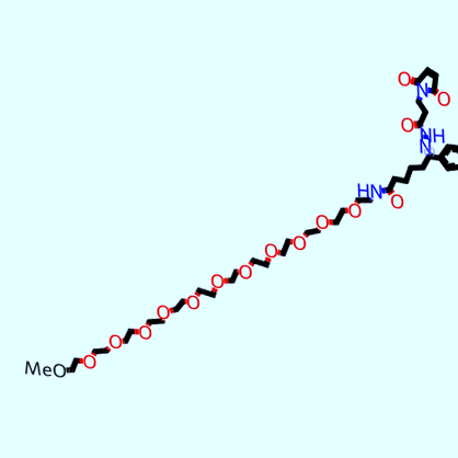 COCCOCCOCCOCCOCCOCCOCCOCCOCCOCCOCCOCCNC(=O)CCCC/C(=N/NC(=O)CCN1C(=O)C=CC1=O)c1ccccc1